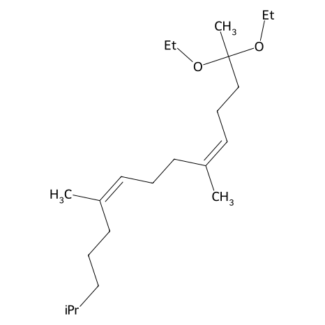 CCOC(C)(CCC=C(C)CCC=C(C)CCCC(C)C)OCC